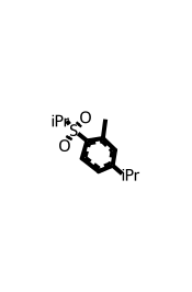 Cc1cc(C(C)C)ccc1S(=O)(=O)C(C)C